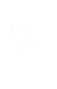 O=c1c2ncn(-c3ccccc3)c2nc(-c2ccc(Cl)cc2)n1-c1ccc(Br)cc1